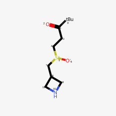 CC(C)(C)C(=O)CC[S+]([O-])CC1CNC1